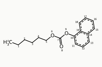 CCCCCCOC(=O)Oc1cccc2ccccc12